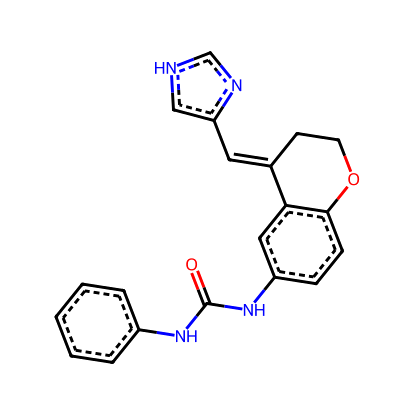 O=C(Nc1ccccc1)Nc1ccc2c(c1)/C(=C/c1c[nH]cn1)CCO2